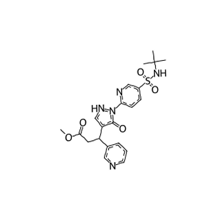 COC(=O)CC(c1cccnc1)c1c[nH]n(-c2ccc(S(=O)(=O)NC(C)(C)C)cn2)c1=O